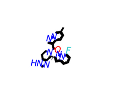 Cc1ccc2c(C(=O)N3CCc4[nH]cnc4[C@@H]3c3cc4cccc(F)n4n3)cnn2c1